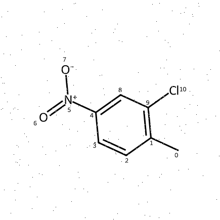 Cc1c[c]c([N+](=O)[O-])cc1Cl